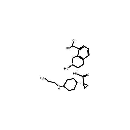 NCCN[C@H]1CC[C@H](C2(C(=O)N[C@H]3Cc4cccc(C(O)O)c4OB3O)CC2)CC1